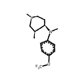 C[C@H]1CN(C)CC[C@H]1N(C)c1ccc(OC(F)(F)F)cc1